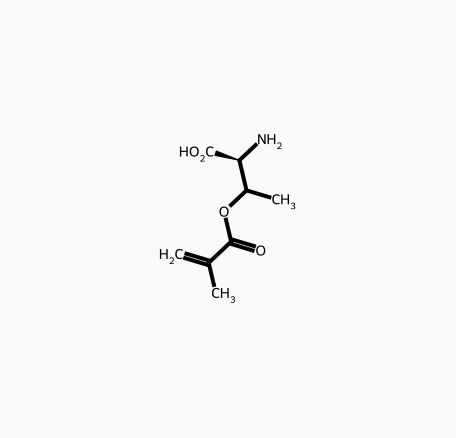 C=C(C)C(=O)OC(C)[C@H](N)C(=O)O